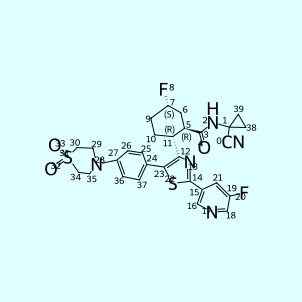 N#CC1(NC(=O)[C@@H]2C[C@@H](F)CC[C@H]2c2nc(-c3cncc(F)c3)sc2-c2ccc(N3CCS(=O)(=O)CC3)cc2)CC1